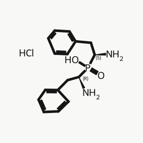 Cl.N[C@H](Cc1ccccc1)P(=O)(O)[C@@H](N)Cc1ccccc1